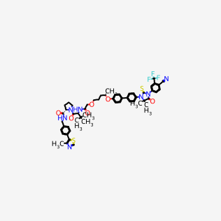 Cc1ncsc1-c1ccc(CNC(=O)[C@@H]2CCCN2C(=O)C(NC(=O)COCCC[C@H](C)Oc2ccc(-c3ccc(N4C(=S)N(c5ccc(C#N)c(C(F)(F)F)c5)C(=O)C4(C)C)cc3)cc2)C(C)(C)C)cc1